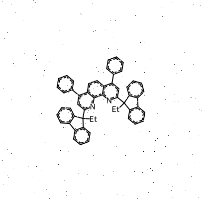 CCC1(c2cc(-c3ccccc3)c3ccc4c(-c5ccccc5)cc(C5(CC)c6ccccc6-c6ccccc65)nc4c3n2)c2ccccc2-c2ccccc21